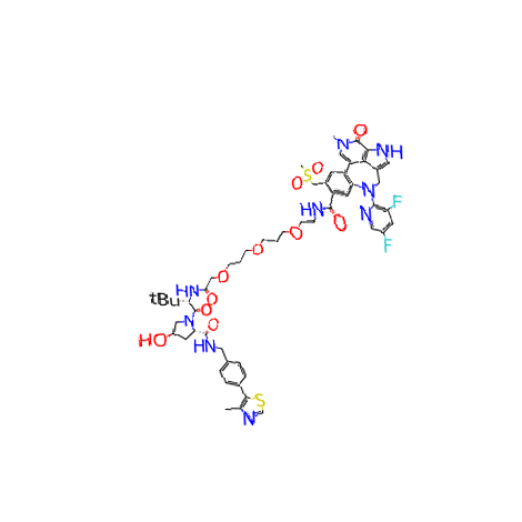 Cc1ncsc1-c1ccc(CNC(=O)[C@@H]2C[C@@H](O)CN2C(=O)[C@@H](NC(=O)COCCCOCCCOCCNC(=O)c2cc3c(cc2CS(C)(=O)=O)-c2cn(C)c(=O)c4[nH]cc(c24)CN3c2ncc(F)cc2F)C(C)(C)C)cc1